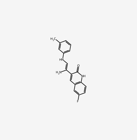 Cc1cccc(N/C=C(\N)c2cc3cc(F)ccc3[nH]c2=O)c1